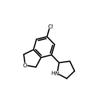 Clc1cc2c(c(C3CCCN3)c1)COC2